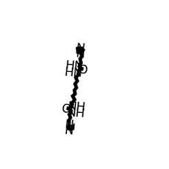 O=C(NCCCCCCCCCCNC(=O)NCCCn1ccnc1)NCCCn1ccnc1